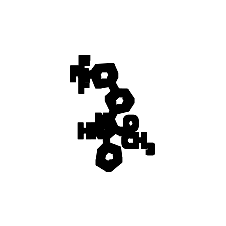 CC(=O)c1c(-c2cccc(-c3cccc(C(F)(F)F)c3)c2)n[nH]c1-c1ccccc1